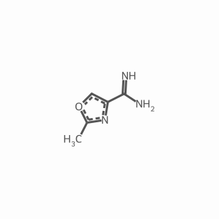 Cc1nc(C(=N)N)co1